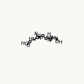 Cc1c(Nc2nccc3cc(CN4CC[C@@H](O)C4)cnc23)cccc1-c1cccc(-c2nc3cc(CNCCc4ccc(C(=O)O)cc4)cc(C#N)c3o2)c1C